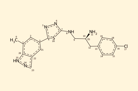 Cc1cc(-c2nnc(NC[C@@H](N)Cc3ccc(Cl)cc3)s2)cc2cn[nH]c12